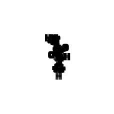 CC1(C)CC(N2CNC3C4N(C=O)CN(C5CC(C)(C)NC(C)(C)C5)CN4C(=O)N3C2)CC(C)(C)N1